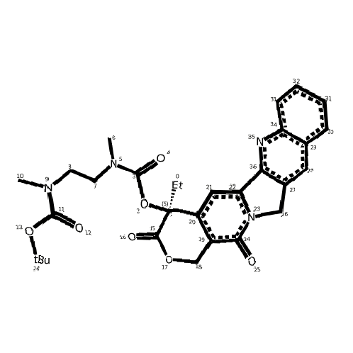 CC[C@@]1(OC(=O)N(C)CCN(C)C(=O)OC(C)(C)C)C(=O)OCc2c1cc1n(c2=O)Cc2cc3ccccc3nc2-1